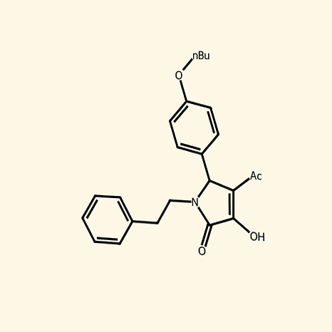 CCCCOc1ccc(C2C(C(C)=O)=C(O)C(=O)N2CCc2ccccc2)cc1